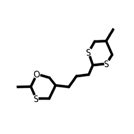 CC1CSC(CCCC2COC(C)SC2)SC1